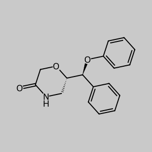 O=C1CO[C@H]([C@@H](Oc2ccccc2)c2ccccc2)CN1